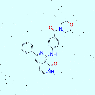 O=C(c1ccc(Nc2nc(-c3ccccc3)cc3cc[nH]c(=O)c23)cc1)N1CCOCC1